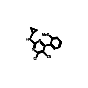 COc1ccccc1-c1nc(NC2CC2)nc(Cl)c1C#N